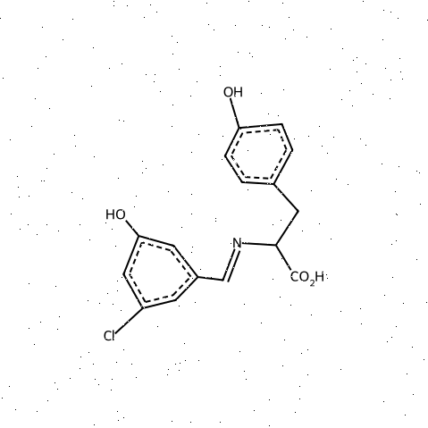 O=C(O)C(Cc1ccc(O)cc1)N=Cc1cc(O)cc(Cl)c1